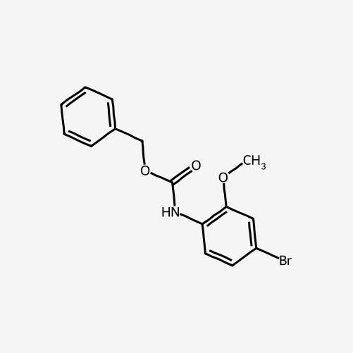 COc1cc(Br)ccc1NC(=O)OCc1ccccc1